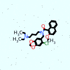 CCN(CC)CCCCN(Cc1cc2c(cc1Cl)OCO2)C(=O)c1c(OC)ccc2ccccc12